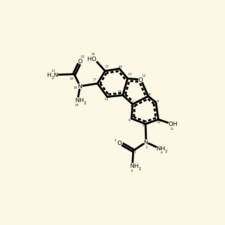 NC(=O)N(N)c1cc2c(cc1O)oc1cc(O)c(N(N)C(N)=O)cc12